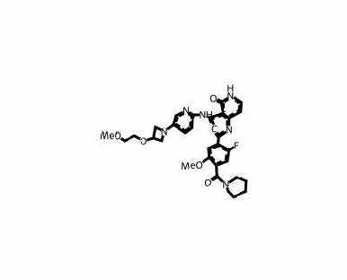 COCCOC1CN(c2ccc(Nc3cc(-c4cc(OC)c(C(=O)N5CCCCC5)cc4F)nc4cc[nH]c(=O)c34)nc2)C1